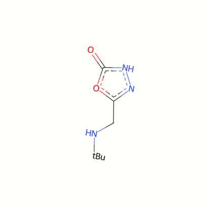 CC(C)(C)NCc1n[nH]c(=O)o1